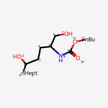 CCCCCCCC(O)CCC(CO)NC(=O)OCCCC